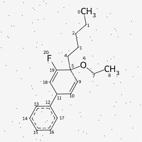 CCCCCC1(OCC)C=CC(c2ccccc2)C=C1F